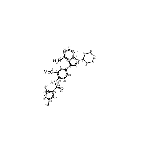 COc1cc(-c2cn(C3CCOCC3)c3ncnc(N)c23)ccc1NC(=O)c1cc(C)nn1C